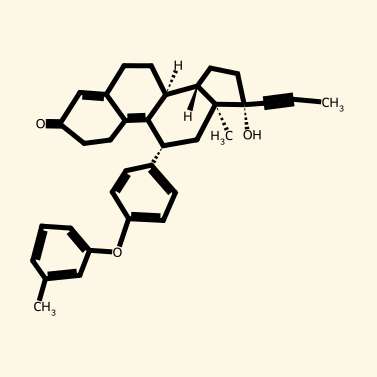 CC#C[C@]1(O)CC[C@H]2[C@@H]3CCC4=CC(=O)CCC4=C3[C@@H](c3ccc(Oc4cccc(C)c4)cc3)C[C@@]21C